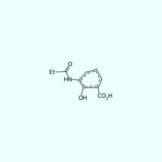 CCC(=O)Nc1cccc(C(=O)O)c1O